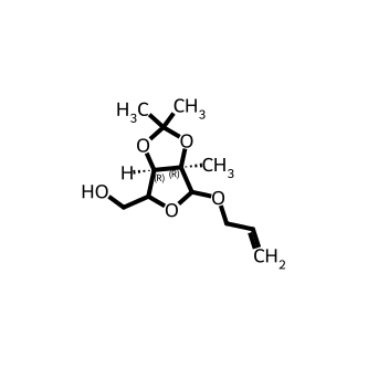 C=CCOC1OC(CO)[C@H]2OC(C)(C)O[C@@]12C